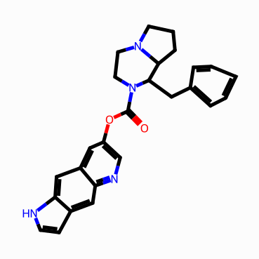 O=C(Oc1cnc2cc3cc[nH]c3cc2c1)N1CCN2CCCC2C1Cc1ccccc1